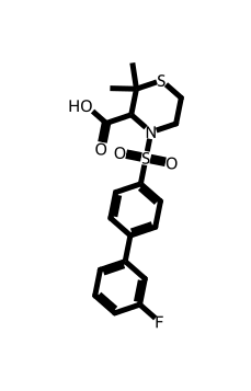 CC1(C)SCCN(S(=O)(=O)c2ccc(-c3cccc(F)c3)cc2)C1C(=O)O